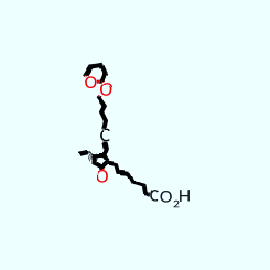 C=C[C@H]1CC(=O)C(CC=CCCCC(=O)O)C1C=CCCCCCCOC1CCCCO1